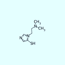 CN(C)CCn1cncc1S